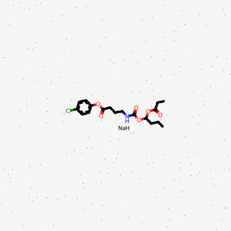 CCCC(OC(=O)CC)OC(=O)NCCCC(=O)Oc1ccc(Cl)cc1.[NaH]